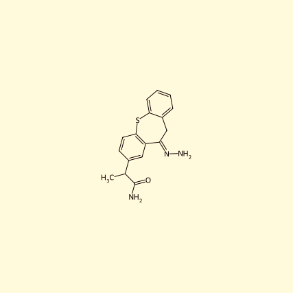 CC(C(N)=O)c1ccc2c(c1)C(=NN)Cc1ccccc1S2